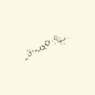 C=C(N[C@H](C(=O)N1[C@@H](C)CC[C@H]1C(=O)Oc1ccc2c(c1)OCc1cc(C(=O)COC(=O)[C@@H]3C[C@H](CCO)CN3C)ccc1-2)C(C)C)OC